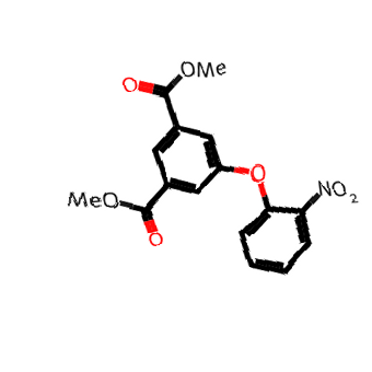 COC(=O)c1cc(Oc2ccccc2[N+](=O)[O-])cc(C(=O)OC)c1